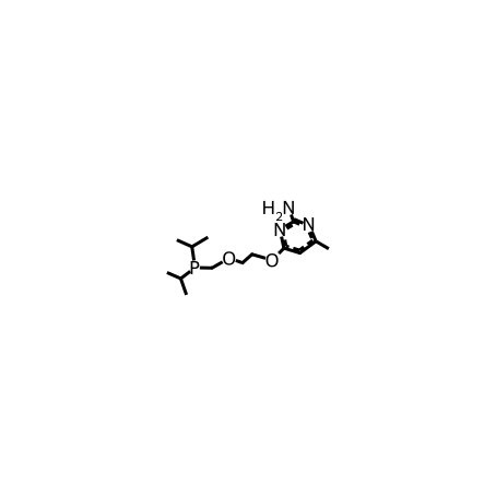 Cc1cc(OCCOCP(C(C)C)C(C)C)nc(N)n1